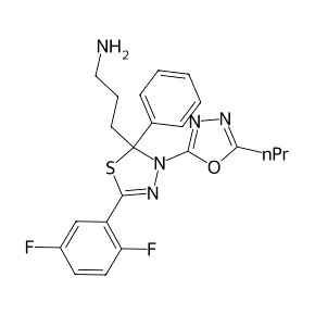 CCCc1nnc(N2N=C(c3cc(F)ccc3F)SC2(CCCN)c2ccccc2)o1